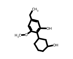 CCc1cc(O)c(C2CCCC(O)C2)c(OC)c1